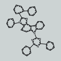 c1ccc(-c2nc(-c3ccccc3)nc(-n3c4ccccc4c4c5nc(-c6ccccc6-c6ccccc6)n(-c6ccccc6)c5ccc43)n2)cc1